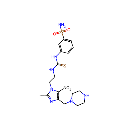 Cc1nc(CN2CCNCC2)c([N+](=O)[O-])n1CCNC(=S)Nc1cccc(S(N)(=O)=O)c1